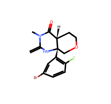 C=C1N[C@@]2(c3cc(Br)ccc3F)COCC[C@H]2C(=O)N1C